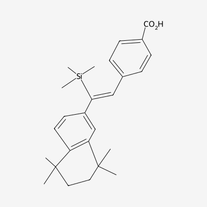 CC1(C)CCC(C)(C)c2cc(C(=Cc3ccc(C(=O)O)cc3)[Si](C)(C)C)ccc21